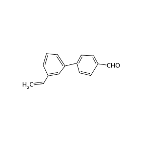 C=Cc1cccc(-c2ccc(C=O)cc2)c1